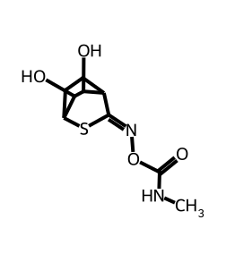 CNC(=O)ON=C1SC2CCC1C(O)C2O